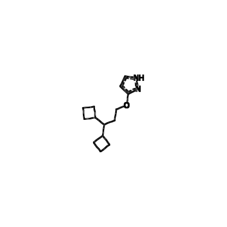 c1cc(OCCC(C2CCC2)C2CCC2)n[nH]1